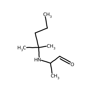 CCCC(C)(C)NC(C)C=O